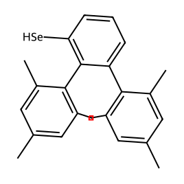 Cc1cc(C)c(-c2cccc([SeH])c2-c2c(C)cc(C)cc2C)c(C)c1